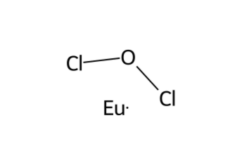 ClOCl.[Eu]